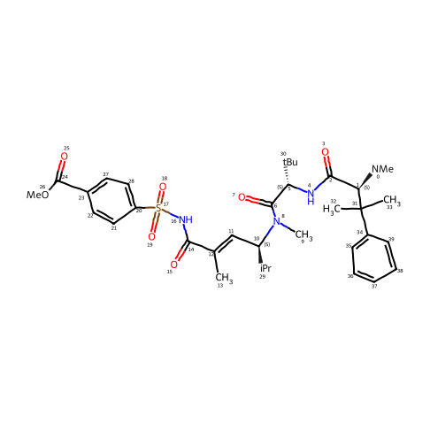 CN[C@H](C(=O)N[C@H](C(=O)N(C)[C@H](C=C(C)C(=O)NS(=O)(=O)c1ccc(C(=O)OC)cc1)C(C)C)C(C)(C)C)C(C)(C)c1ccccc1